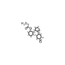 CCC(=O)Oc1ccccc1-c1ccsc1-c1ccc(Cl)cc1